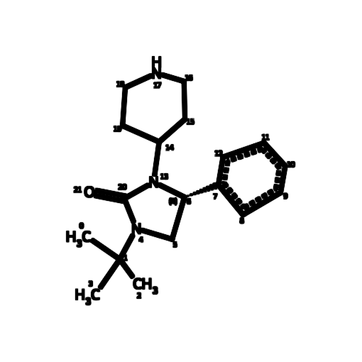 CC(C)(C)N1C[C@@H](c2ccccc2)N(C2CCNCC2)C1=O